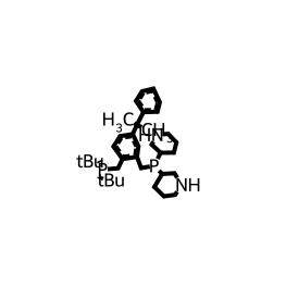 CC(C)(c1ccccc1)c1ccc(CP(C(C)(C)C)C(C)(C)C)c(CP(C2CCCNC2)C2CCCNC2)c1